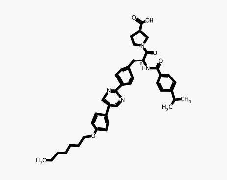 CCCCCCCOc1ccc(-c2cnc(-c3ccc(C[C@H](NC(=O)c4ccc(C(C)C)cc4)C(=O)N4CCC(C(=O)O)C4)cc3)nc2)cc1